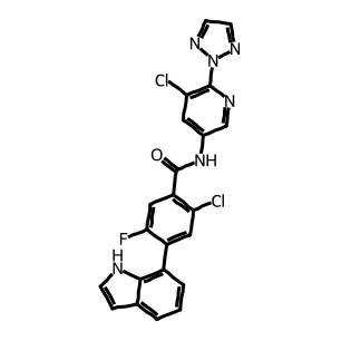 O=C(Nc1cnc(-n2nccn2)c(Cl)c1)c1cc(F)c(-c2cccc3cc[nH]c23)cc1Cl